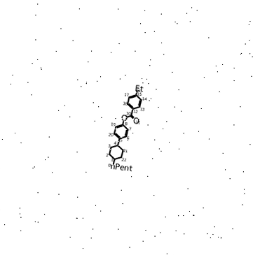 CCCCCC1CCC(c2ccc(OC(=O)c3ccc(CC)cc3)cc2)CC1